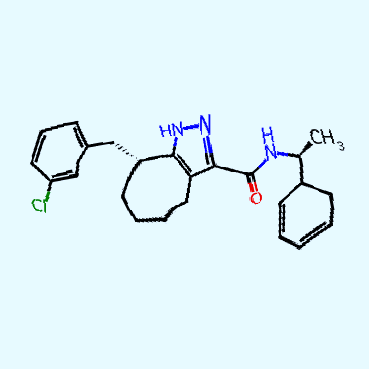 C[C@H](NC(=O)c1n[nH]c2c1CCCC[C@@H]2Cc1cccc(Cl)c1)C1C=CC=CC1